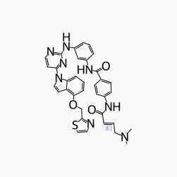 CN(C)C/C=C/C(=O)Nc1ccc(C(=O)Nc2cccc(Nc3nccc(-n4ccc5c(OCc6nccs6)cccc54)n3)c2)cc1